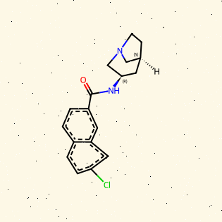 O=C(N[C@@H]1C[C@@H]2CCN(C2)C1)c1ccc2ccc(Cl)cc2c1